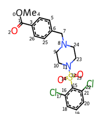 COC(=O)c1ccc(CN2CCN(S(=O)(=O)c3c(Cl)cccc3Cl)CC2)cc1